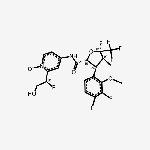 COc1c([C@H]2[C@H](C(=O)Nc3cc[n+]([O-])c([C@@H](F)CO)c3)O[C@@](C)(C(F)(F)F)[C@H]2C)ccc(F)c1F